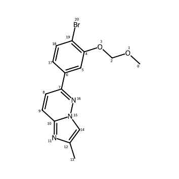 COCOc1cc(-c2ccc3nc(C)cn3n2)ccc1Br